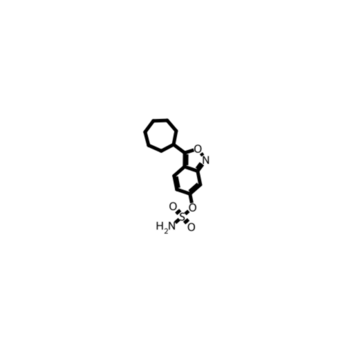 NS(=O)(=O)Oc1ccc2c(C3CCCCCC3)onc2c1